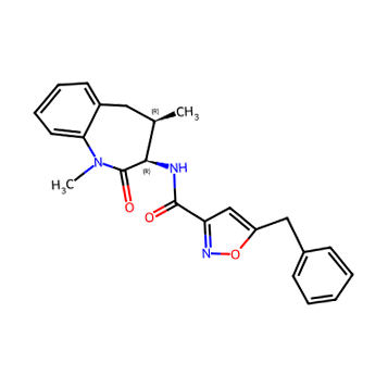 C[C@@H]1Cc2ccccc2N(C)C(=O)[C@@H]1NC(=O)c1cc(Cc2ccccc2)on1